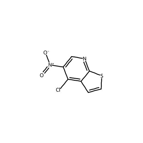 O=[N+]([O-])c1cnc2sccc2c1Cl